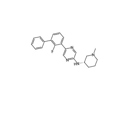 CN1CCC[C@H](Nc2cnc(-c3cccc(-c4ccccc4)c3F)cn2)C1